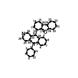 c1ccc(-c2c3ccccc3c(-c3cccc4c3oc3ccccc34)c3cnccc23)cc1